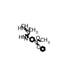 CCC(=O)N(CCOc1ccccc1)[C@H]1CC[C@@H](c2n[nH]cc2CN(C)CCNC)CC1